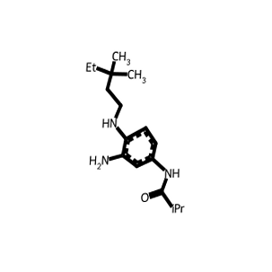 CCC(C)(C)CCNc1ccc(NC(=O)C(C)C)cc1N